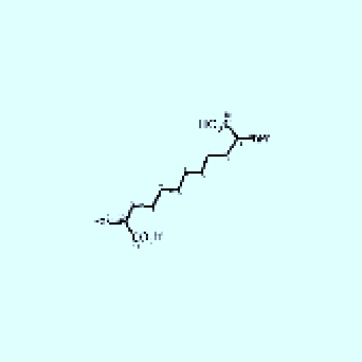 CCCC(CCCCCCCCC(CCC)C(=O)O)C(=O)O